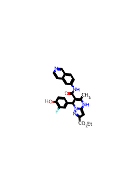 CCOC(=O)c1cc2n(n1)C(c1ccc(O)c(F)c1)C(C(=O)Nc1ccc3cnccc3c1)=C(C)N2